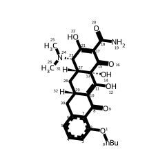 CCCCOc1cccc2c1C(=O)C1=C(O)[C@]3(O)C(=O)C(C(N)=O)=C(O)[C@@H](N(C)C)[C@H]3C[C@H]1C2